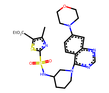 CCOC(=O)c1sc(S(=O)(=O)NC2CCCN(c3ncnc4cc(N5CCOCC5)ccc34)C2)nc1C